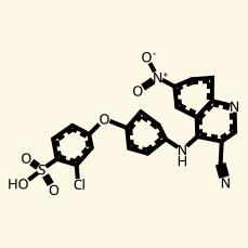 N#Cc1cnc2ccc([N+](=O)[O-])cc2c1Nc1ccc(Oc2ccc(S(=O)(=O)O)c(Cl)c2)cc1